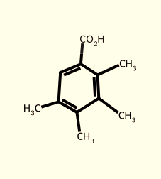 Cc1cc(C(=O)O)c(C)c(C)c1C